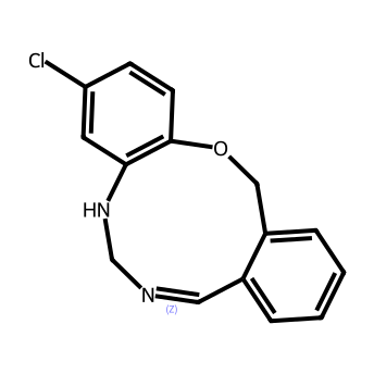 Clc1ccc2c(c1)NC/N=C\c1ccccc1CO2